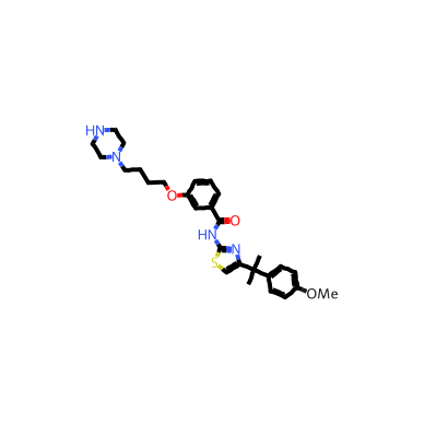 COc1ccc(C(C)(C)c2csc(NC(=O)c3cccc(OCCCCN4CCNCC4)c3)n2)cc1